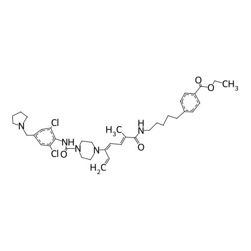 C=C/C(=C\C=C(/C)C(=O)NCCCCCc1ccc(C(=O)OCC)cc1)N1CCN(C(=O)Nc2c(Cl)cc(CN3CCCC3)cc2Cl)CC1